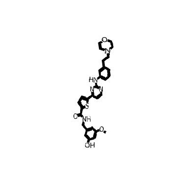 COc1cc(O)cc(CNC(=O)c2ccc(-c3ccnc(Nc4cccc(CCN5CCOCC5)c4)n3)s2)c1